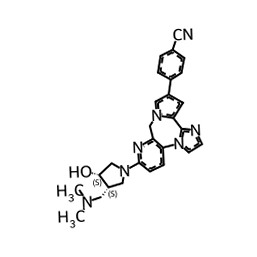 CN(C)C[C@H]1CN(c2ccc3c(n2)Cn2cc(-c4ccc(C#N)cc4)cc2-c2nccn2-3)C[C@H]1O